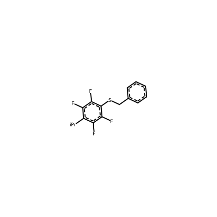 CC(C)c1c(F)c(F)c(SCc2ccccc2)c(F)c1F